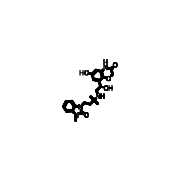 Cn1c(=O)n(CCC(C)(C)NC[C@H](O)c2cc(O)cc3c2OCC(=O)N3)c2ccccc21